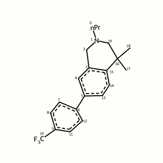 CCCN1Cc2cc(-c3ccc(C(F)(F)F)cc3)ccc2C(C)(C)C1